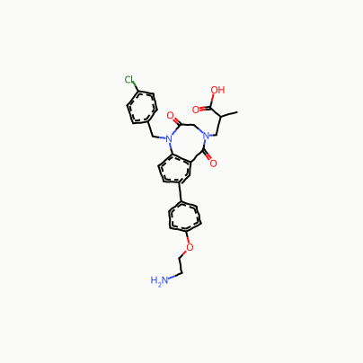 CC(CN1CC(=O)N(Cc2ccc(Cl)cc2)c2ccc(-c3ccc(OCCN)cc3)cc2C1=O)C(=O)O